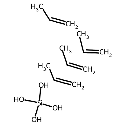 C=CC.C=CC.C=CC.C=CC.O[Si](O)(O)O